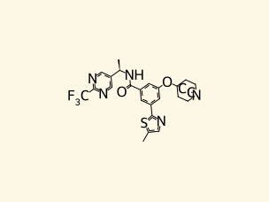 Cc1cnc(-c2cc(OC34CCN(CC3)CC4)cc(C(=O)N[C@H](C)c3cnc(C(F)(F)F)nc3)c2)s1